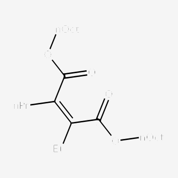 CCCCCCCCOC(=O)/C(CC)=C(/CCC)C(=O)OCCCCCCCC